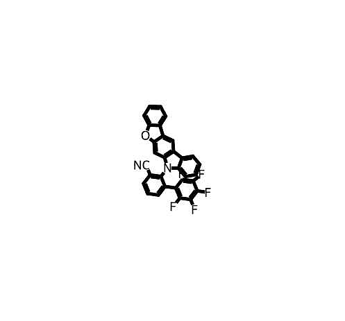 N#Cc1cccc(-c2c(F)c(F)c(F)c(F)c2F)c1-n1c2ccccc2c2cc3c(cc21)oc1ccccc13